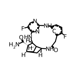 NC(=O)[C@H]1[C@H]2C[C@H]3[C@H]1Nc1nc(ncc1F)Nc1ccc(F)c(c1)CC(=O)N[C@@H]3C2